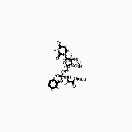 CCCCOC(=O)[C@H](C)NP(=O)(OC[C@H]1OC(n2ccc(=O)[nH]c2=O)[C@](C)(N=[N+]=[N-])[C@@H]1O)Oc1ccccc1